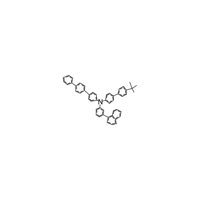 CC(C)(C)c1ccc(-c2ccc(N(c3ccc(-c4ccc(-c5ccccc5)cc4)cc3)c3cccc(-c4cccc5ccccc45)c3)cc2)cc1